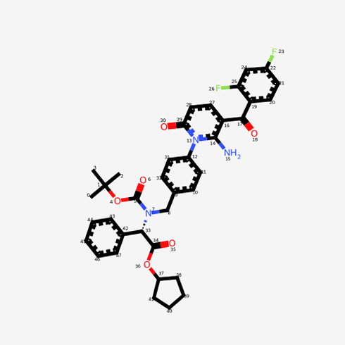 CC(C)(C)OC(=O)N(Cc1ccc(-n2c(N)c(C(=O)c3ccc(F)cc3F)ccc2=O)cc1)[C@H](C(=O)OC1CCCC1)c1ccccc1